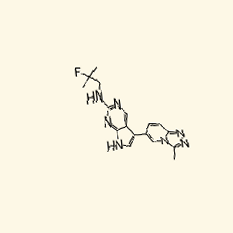 Cc1nnc2ccc(-c3c[nH]c4nc(NCC(C)(C)F)ncc34)cn12